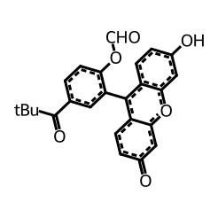 CC(C)(C)C(=O)c1ccc(OC=O)c(-c2c3ccc(=O)cc-3oc3cc(O)ccc23)c1